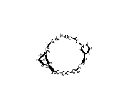 C1#Cc2ccc[n+](c2)CCCCCCCCC[n+]2cccc(c2)C#CCCCCCC1